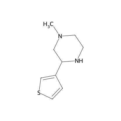 CN1CCNC(c2ccsc2)C1